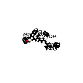 CC(=O)OC12CC3CC(C1)CC(OC(=O)C1(C(C)CCC(C(=O)OC45CC6CC(CC(O)(C6)C4)C5)C(C)C(C)CC(C(=O)OC4CCOC4=O)C(C)C(C)CC(CC(C)C)C(=O)OC4(C)C5CC6CC(C5)CC4C6)CC1C)(C3)C2